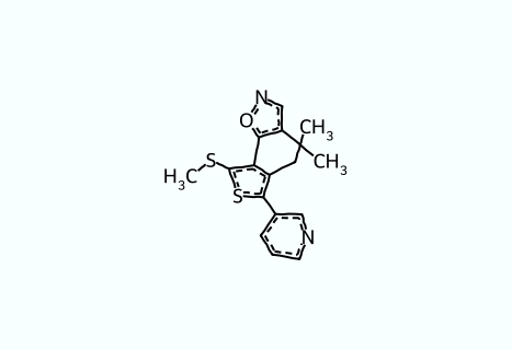 CSc1sc(-c2cccnc2)c2c1-c1oncc1C(C)(C)C2